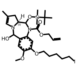 C=CCOC(=O)N1c2cc(OCCCCCI)c(OC)cc2C(O)N2C=C(C)C[C@H]2C1O[Si](C)(C)C(C)(C)C